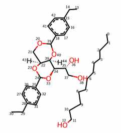 CCCCCCCCCCCCO.CCc1ccc(C2OC[C@@H]3OC(c4ccc(CC)cc4)O[C@H]([C@H](O)CO)[C@@H]3O2)cc1